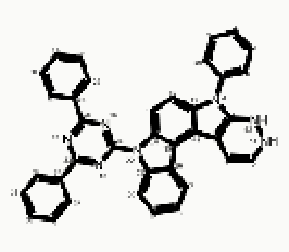 C1=Cc2c(n(-c3ccccc3)c3ccc4c(c5ccccc5n4-c4nc(-c5ccccc5)nc(-c5ccccc5)n4)c23)NN1